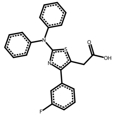 O=C(O)Cc1sc(N(c2ccccc2)c2ccccc2)nc1-c1cccc(F)c1